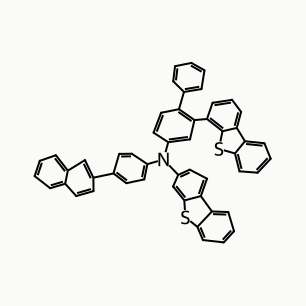 c1ccc(-c2ccc(N(c3ccc(-c4ccc5ccccc5c4)cc3)c3ccc4c(c3)sc3ccccc34)cc2-c2cccc3c2sc2ccccc23)cc1